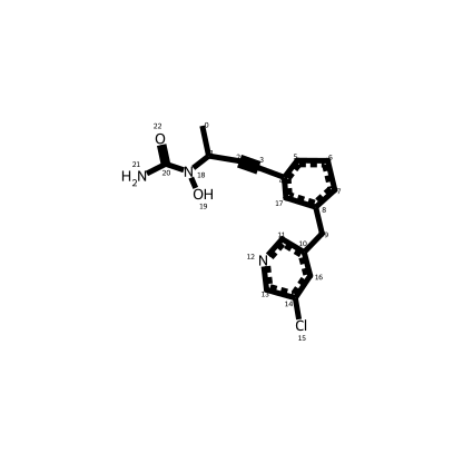 CC(C#Cc1cccc(Cc2cncc(Cl)c2)c1)N(O)C(N)=O